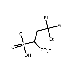 CCC(CC)(CC)CC(C(=O)O)P(=O)(O)O